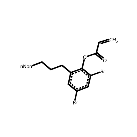 C=CC(=O)Oc1c(Br)cc(Br)cc1CCCCCCCCCCCC